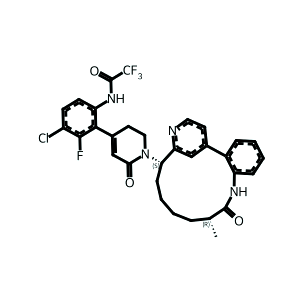 C[C@@H]1CCCC[C@H](N2CCC(c3c(NC(=O)C(F)(F)F)ccc(Cl)c3F)=CC2=O)c2cc(ccn2)-c2ccccc2NC1=O